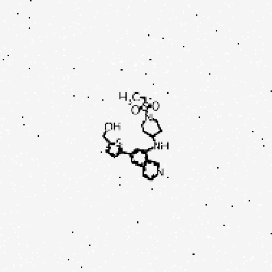 CCS(=O)(=O)N1CCC(Nc2cc(-c3ccc(CO)s3)cc3ccncc23)CC1